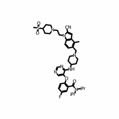 Cc1c(CN2CCC(Nc3ncncc3Oc3ccc(F)cc3C(=O)N(C(C)C)C(C)C)CC2)ccc2c1cc(C#N)n2CCN1CCC(S(C)(=O)=O)CC1